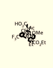 CCOC(=O)N1c2ccc(OC)nc2[C@@H](N(Cc2cc(C(F)(F)F)cc(C(F)(F)F)c2)c2ncc(N(CCC(=O)O)C(C)=O)cn2)C[C@H]1CC